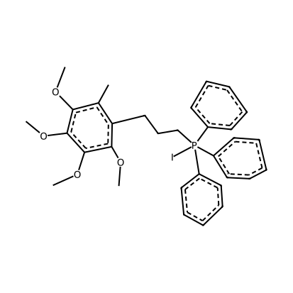 COc1c(C)c(CCCP(I)(c2ccccc2)(c2ccccc2)c2ccccc2)c(OC)c(OC)c1OC